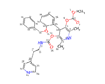 COC(=O)OC1=C(C)NC(C)=C(OC(=O)NCCc2ccncc2)C1c1ccccc1OCc1ccccc1